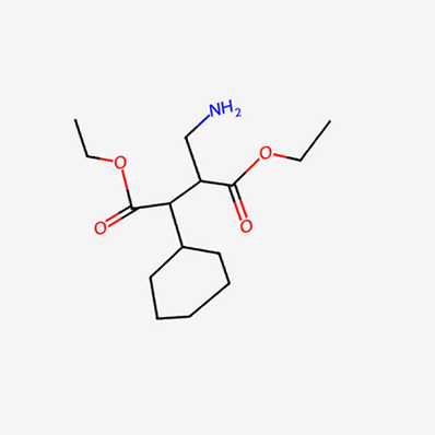 CCOC(=O)C(CN)C(C(=O)OCC)C1CCCCC1